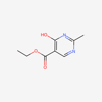 [CH2]c1ncc(C(=O)OCC)c(O)n1